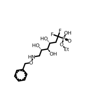 CCOP(=O)(O)C(F)(F)C[C@@H](O)[C@@H](O)[C@@H](O)CNOCc1ccccc1